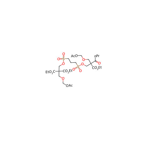 CCCC(=O)C(COCOC(C)=O)(COS(=O)(=O)CCCS(=O)(=O)OCC(COCOC(C)=O)(C(=O)OCC)C(=O)OCC)C(=O)OCC